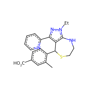 CCn1nc(-c2ccccn2)c2c1NCCSC2c1ccc(C(=O)O)cc1C